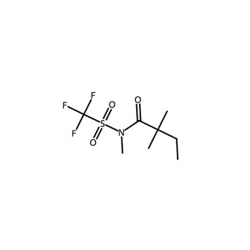 CCC(C)(C)C(=O)N(C)S(=O)(=O)C(F)(F)F